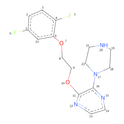 Fc1ccc(F)c(OCCOc2nccnc2N2CCNCC2)c1